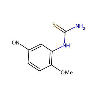 COc1ccc(N=O)cc1NC(N)=S